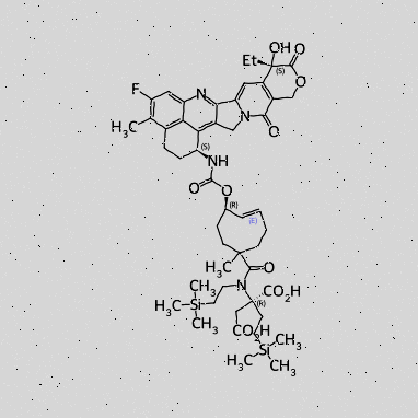 CC[C@@]1(O)C(=O)OCc2c1cc1n(c2=O)Cc2c-1nc1cc(F)c(C)c3c1c2[C@@H](NC(=O)O[C@H]1/C=C/CCC(C)(C(=O)N(CC[Si](C)(C)C)[C@@](CC[Si](C)(C)C)(CC(=O)O)C(=O)O)CC1)CC3